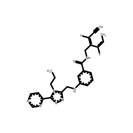 C#C/C(F)=C(CNC(=O)c1cccc(NCc2nnc(-c3ccncn3)n2CCC)c1)\C(F)=C/C